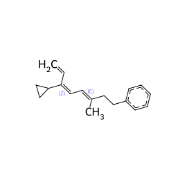 C=C/C(=C\C=C(/C)CCc1ccccc1)C1CC1